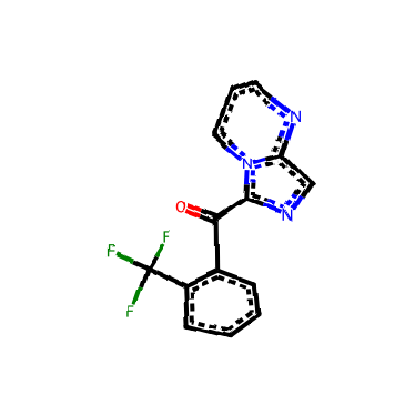 O=C(c1ccccc1C(F)(F)F)c1ncc2ncccn12